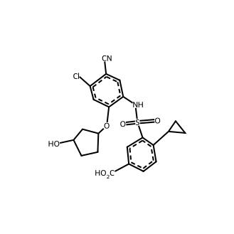 N#Cc1cc(NS(=O)(=O)c2cc(C(=O)O)ccc2C2CC2)c(OC2CCC(O)C2)cc1Cl